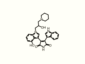 O=C1NC(=O)C(c2cn(CC(O)CN3CCCCC3)c3cccc(O)c23)=C1c1c[nH]c2ccccc12